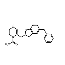 NC(=O)N1C=CNC=C1CC1Cc2cc(Cc3ccccc3)ccc2O1